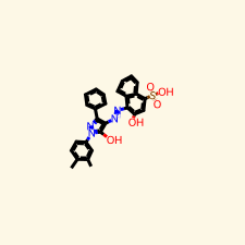 Cc1ccc(-n2nc(-c3ccccc3)c(/N=N/c3c(O)cc(S(=O)(=O)O)c4ccccc34)c2O)cc1C